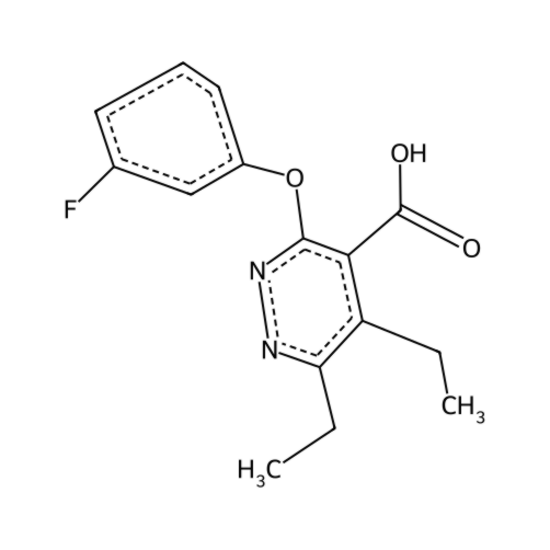 CCc1nnc(Oc2cccc(F)c2)c(C(=O)O)c1CC